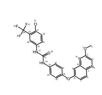 COc1cnc2ccc(Oc3ccc(NC(=O)Nc4ccc(Cl)c(C(F)(F)F)c4)cc3)cc2n1